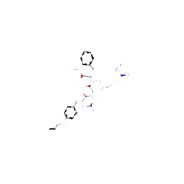 C=CCOc1ccc(C[C@H](NC(C)=O)C(=O)N[C@@H](CCCCNC(=N)NCl)C(=O)N[C@@H](Cc2ccccc2)C(=O)OC)cc1